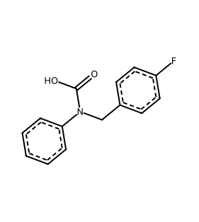 O=C(O)N(Cc1ccc(F)cc1)c1ccccc1